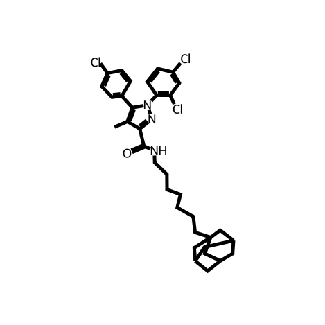 Cc1c(C(=O)NCCCCCCCC23CC4CC(CC(C4)C2)C3)nn(-c2ccc(Cl)cc2Cl)c1-c1ccc(Cl)cc1